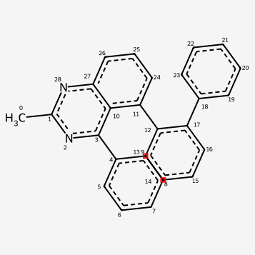 Cc1nc(-c2ccccc2)c2c(-c3ccccc3-c3ccccc3)cccc2n1